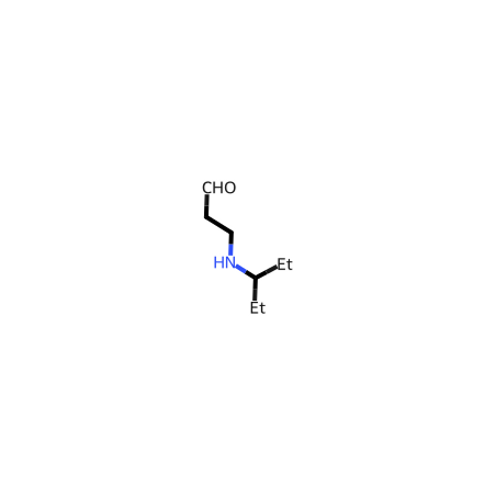 CCC(CC)NCCC=O